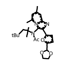 CC(=O)N(c1c(-c2ccc(C3OCCO3)o2)nc2cc(C)cc(C)n12)C(C)(C)CC(C)(C)C